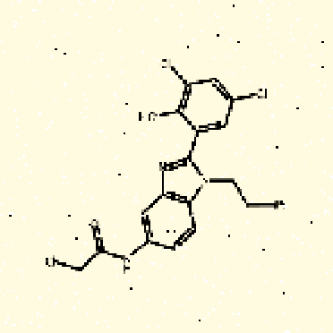 CC(C)CCn1c(-c2cc(Cl)cc(Cl)c2O)nc2cc(NC(=O)CCl)ccc21